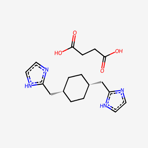 O=C(O)CCC(=O)O.c1c[nH]c(C[C@H]2CC[C@@H](Cc3ncc[nH]3)CC2)n1